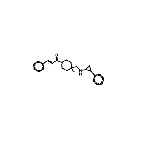 O=C(/C=C/c1ccccc1)N1CCC(F)(CNC2CC2c2ccccc2)CC1